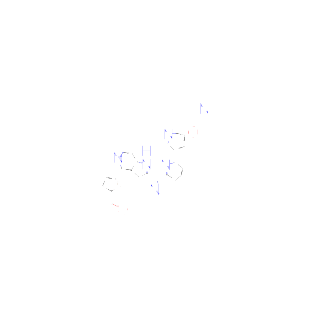 CC(=O)c1ccc(-c2nccc3[nH]c(C4=NCCc5ccc(-c6cncc(OCCN(C)C)c6)nc54)cc23)s1